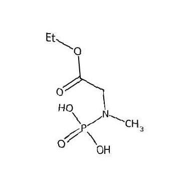 CCOC(=O)CN(C)P(=O)(O)O